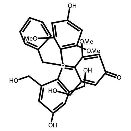 COC1=CC(=O)C=C(CO)C1=P(Cc1ccccc1)(c1c(CO)cc(O)cc1CO)c1c(OC)cc(O)cc1OC